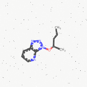 CCCC(C)On1nnc2cccnc21